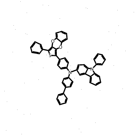 c1ccc(-c2ccc(N(c3ccc(-c4sc(-c5ccccc5)c5c4Oc4ccccc4O5)cc3)c3ccc4c(c3)c3ccccc3n4-c3ccccc3)cc2)cc1